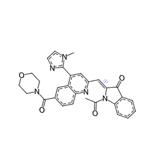 CC(=O)N1/C(=C\c2cc(-c3nccn3C)c3cc(C(=O)N4CCOCC4)ccc3n2)C(=O)c2ccccc21